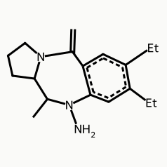 C=C1c2cc(CC)c(CC)cc2N(N)C(C)C2CCCN12